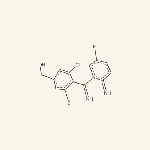 N=C(c1c(Cl)cc(CO)cc1Cl)n1cc(F)ccc1=N